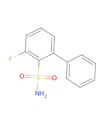 NS(=O)(=O)c1c(F)cccc1-c1ccccc1